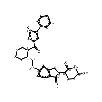 Cn1nc(C(=O)N2CCCC[C@H]2COc2ccc3c(c2)CN(C2CCC(=O)NC2=O)C3=O)cc1-c1ccccc1